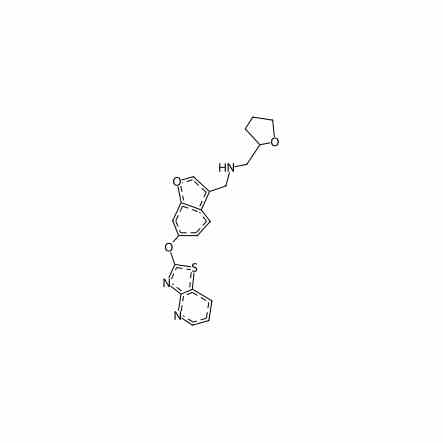 c1cnc2nc(Oc3ccc4c(CNCC5CCCO5)coc4c3)sc2c1